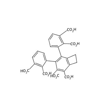 O=C(O)c1cccc(-c2c3c(c(C(=O)O)c(C(=O)O)c2-c2cccc(C(=O)O)c2C(=O)O)CC3)c1C(=O)O